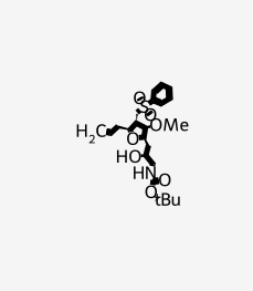 C=CC[C@@H]1O[C@H](C[C@H](O)CNC(=O)OC(C)(C)C)[C@H](OC)[C@H]1CS(=O)(=O)c1ccccc1